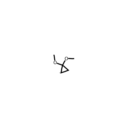 COC1(OC)[CH]C1